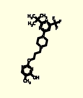 Cc1cnc(OCCCN2CCN(c3cc(C(F)(F)F)nc(C(C)(C)C)n3)CC2)nc1O